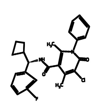 Cc1c(C(=O)N[C@H](c2cccc(F)c2)C2CCC2)c(C)n(-c2ccccc2)c(=O)c1Cl